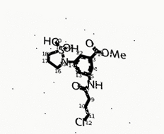 COC(=O)c1cc(NC(=O)CCCCl)cc(N2CCCS2(O)O)c1